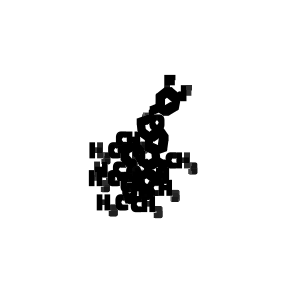 Cc1nc(C)c([C@H](OC(C)(C)C)C(=O)OC(C)C)c(N2CCC(C)(C)CC2)c1-c1ccc2c(c1)CC[C@H](Cc1ccc(F)c(F)c1)O2